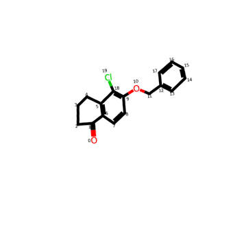 O=C1CCCc2c1ccc(OCc1ccccc1)c2Cl